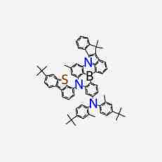 Cc1cc2c3c(c1)-n1c4c(c5cccc(c51)B3c1ccc(N(c3ccc(C(C)(C)C)cc3C)c3ccc(C(C)(C)C)cc3C)cc1N2c1cccc2c1sc1cc(C(C)(C)C)ccc12)C(C)(C)c1ccccc1-4